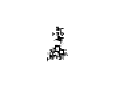 CS(=O)(=O)NC1CC(Oc2ccc(S(=O)(=O)C(F)(F)F)c3c2CC(F)(F)[C@H]3O)C1